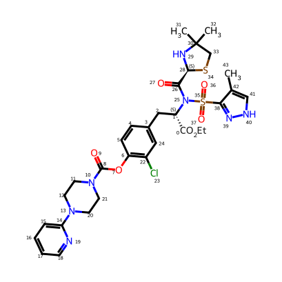 CCOC(=O)[C@H](Cc1ccc(OC(=O)N2CCN(c3ccccn3)CC2)c(Cl)c1)N(C(=O)[C@H]1NC(C)(C)CS1)S(=O)(=O)c1n[nH]cc1C